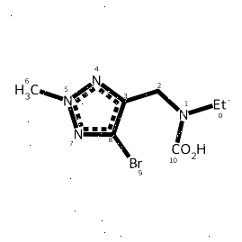 CCN(Cc1nn(C)nc1Br)C(=O)O